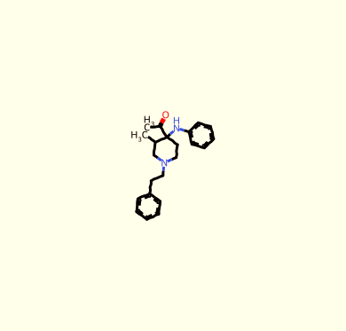 CC(=O)C1(Nc2ccccc2)CCN(CCc2ccccc2)CC1C